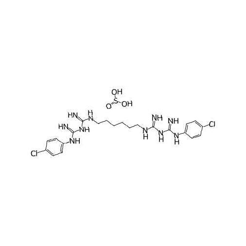 N=C(NCCCCCCNC(=N)NC(=N)Nc1ccc(Cl)cc1)NC(=N)Nc1ccc(Cl)cc1.O=S(O)O